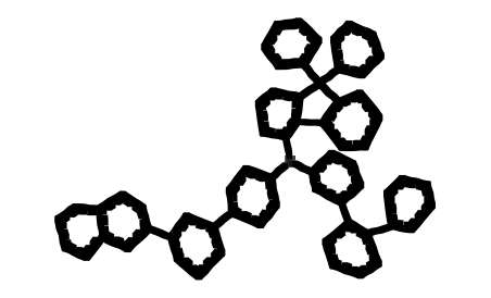 c1ccc(-c2ccccc2-c2cccc(N(c3ccc(-c4cccc(-c5ccc6ccccc6c5)c4)cc3)c3cccc4c3-c3ccccc3C4(c3ccccc3)c3ccccc3)c2)cc1